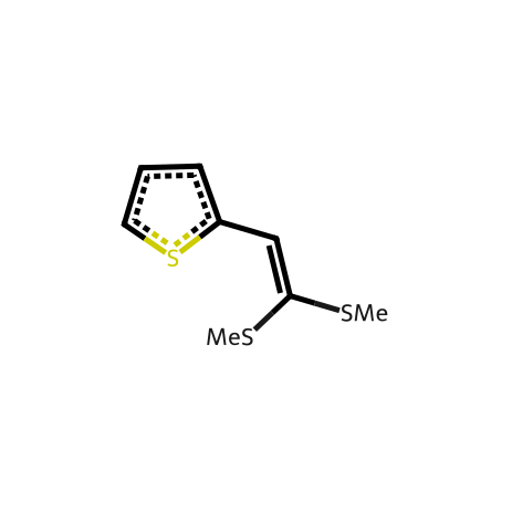 CSC(=Cc1cccs1)SC